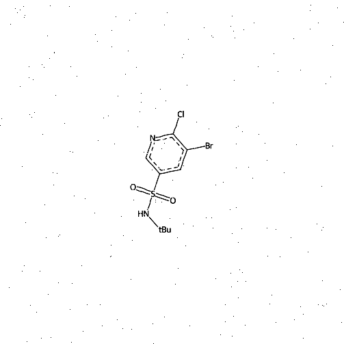 CC(C)(C)NS(=O)(=O)c1cnc(Cl)c(Br)c1